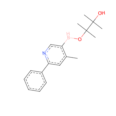 Cc1cc(-c2ccccc2)ncc1BOC(C)(C)C(C)(C)O